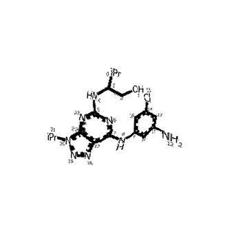 CC(C)C(CO)Nc1nc(Nc2cc(N)cc(Cl)c2)c2nnn(C(C)C)c2n1